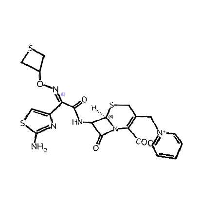 Nc1nc(/C(=N\OC2CSC2)C(=O)NC2C(=O)N3C(C(=O)[O-])=C(C[n+]4ccccc4)CS[C@H]23)cs1